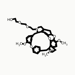 COc1ccc2cc1Oc1ccc(cc1)C[C@H]1c3c(cc(OC)c4c3OC3=CC5=C(CCN(CCOCCOCCO)C5C2)CC3O4)CCN1C